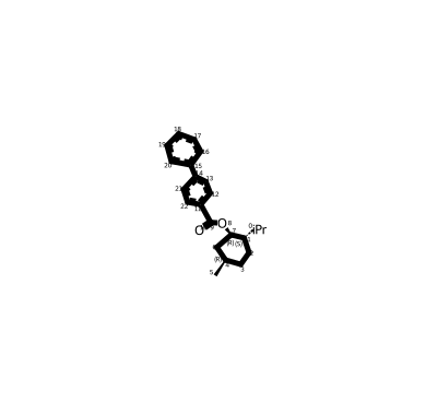 CC(C)[C@@H]1CC[C@@H](C)C[C@H]1OC(=O)c1ccc(-c2ccccc2)cc1